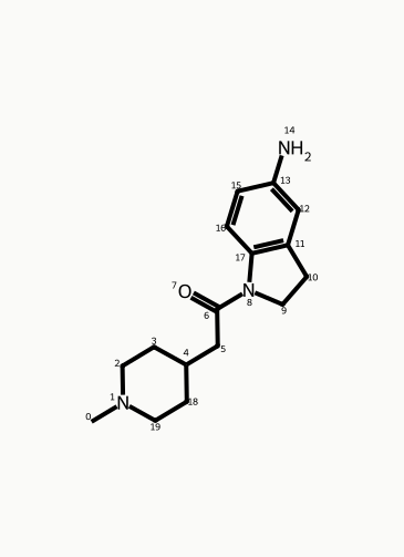 CN1CCC(CC(=O)N2CCc3cc(N)ccc32)CC1